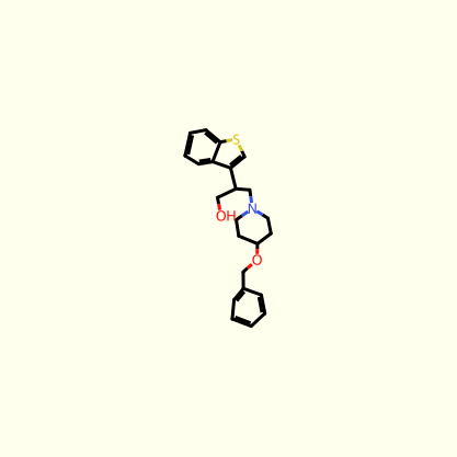 OCC(CN1CCC(OCc2ccccc2)CC1)c1csc2ccccc12